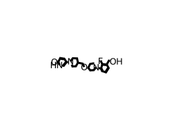 O=c1ccc(N2CCC(COC3CCN(c4cccc(CO)c4F)CC3)CC2)c[nH]1